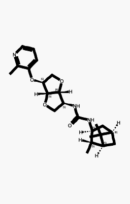 Cc1ncccc1O[C@H]1CO[C@H]2[C@@H]1OC[C@@H]2NC(=O)N[C@H]1C[C@H]2C[C@@H]([C@@H]1C)C2(C)C